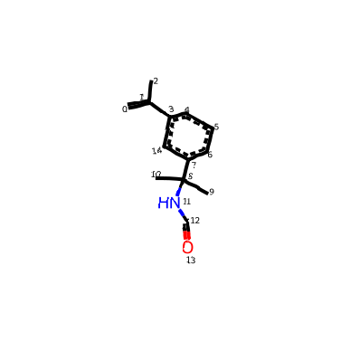 C=C(C)c1cccc(C(C)(C)N[C]=O)c1